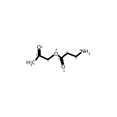 CC(=O)COC(=O)CCN